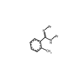 Cc1ccccc1C(=NC(C)C)NC(C)C